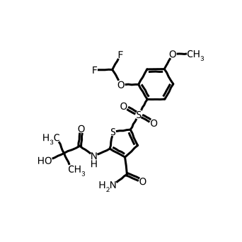 COc1ccc(S(=O)(=O)c2cc(C(N)=O)c(NC(=O)C(C)(C)O)s2)c(OC(F)F)c1